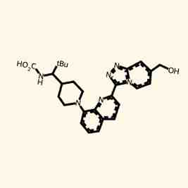 CC(C)(C)C(NC(=O)O)C1CCN(c2cccc3ccc(-c4nnc5cc(CO)ccn45)nc23)CC1